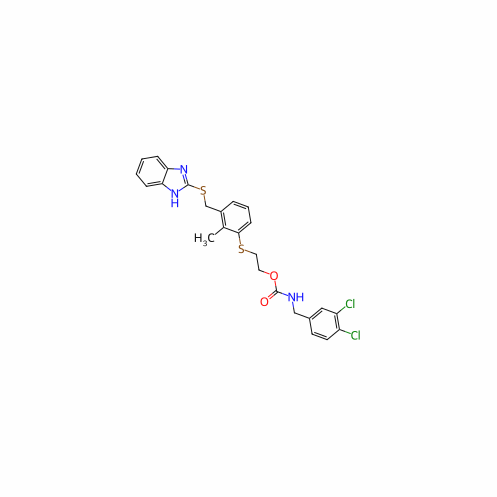 Cc1c(CSc2nc3ccccc3[nH]2)cccc1SCCOC(=O)NCc1ccc(Cl)c(Cl)c1